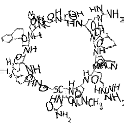 CC[C@H](C)[C@@H]1NC(=O)[C@H](Cc2ccccc2)NC(=O)CSC[C@@H](C(=O)NCC(N)=O)NC(=O)[C@H](Cc2cncn2C)NC(=O)[C@H](CCCNC(=N)N)NC(=O)[C@H](Cc2cnc[nH]2)NC(=O)[C@H](Cc2ccccc2)N(C)C(=O)[C@H](CCCNC(=N)N)NC(=O)[C@H](CO)NC(=O)CNC(=O)[C@H](Cc2cnc[nH]2)NC(=O)[C@H](Cc2cccc3ccccc23)NC1=O